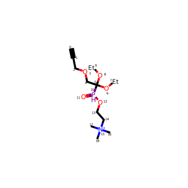 C#CCOCC(OCC)(OCC)[PH](=O)OCC[N+](C)(C)C